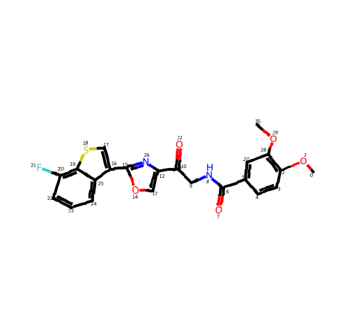 COc1ccc(C(=O)NCC(=O)c2coc(-c3csc4c(F)cccc34)n2)cc1OC